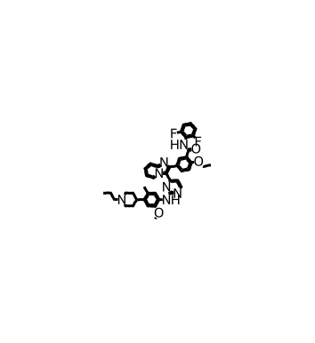 CCCN1CCC(c2cc(OC)c(Nc3nccc(-c4c(-c5ccc(OCC)c(C(=O)Nc6c(F)cccc6F)c5)nc5ccccn45)n3)cc2C)CC1